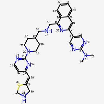 CN(C)c1ncc(-c2cc3ccccc3c(CNCC3CCN(c4nccc(C=C5CNCS5)n4)CC3)n2)cn1